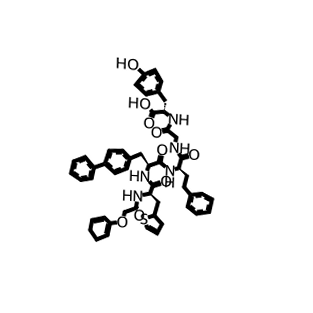 O=C(CNC(=O)[C@@H](CCc1ccccc1)NC(=O)[C@H](Cc1ccc(-c2ccccc2)cc1)NC(=O)[C@@H](CC1CC=CS1)NC(=O)COC1=CCCC=C1)N[C@@H](Cc1ccc(O)cc1)C(=O)O